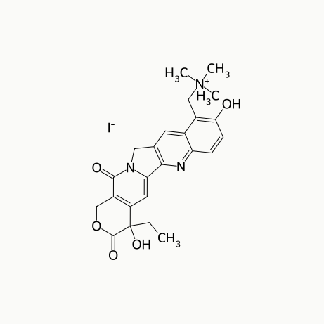 CCC1(O)C(=O)OCc2c1cc1n(c2=O)Cc2cc3c(C[N+](C)(C)C)c(O)ccc3nc2-1.[I-]